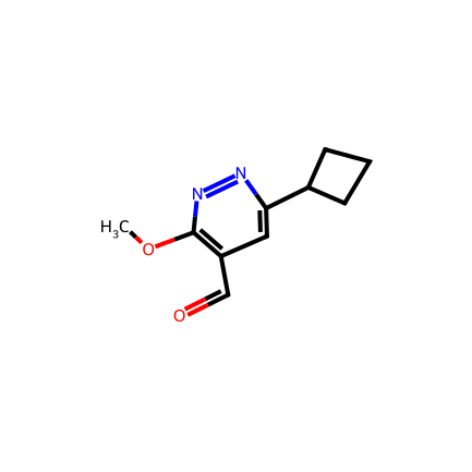 COc1nnc(C2CCC2)cc1C=O